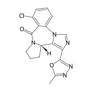 Cc1nnc(-c2ncn3c2[C@@H]2CCCN2C(=O)c2c(Cl)cccc2-3)o1